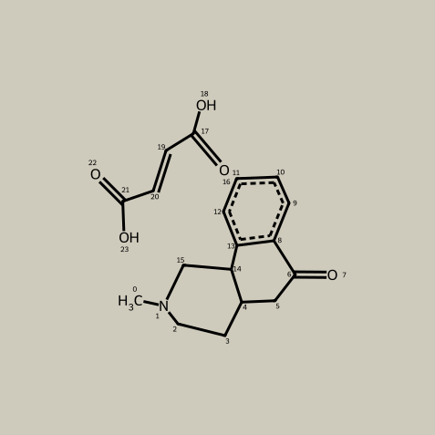 CN1CCC2CC(=O)c3ccccc3C2C1.O=C(O)C=CC(=O)O